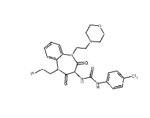 CC(C)CCN1C(=O)C(NC(=O)Nc2ccc(C(F)(F)F)cc2)C(=O)N(CCN2CCOCC2)c2ccccc21